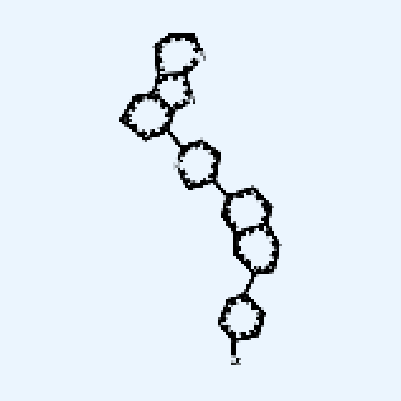 CCc1ccc(-c2ccc3ccc(-c4ccc(-c5cccc6c5oc5ncccc56)nc4)cc3c2)cc1